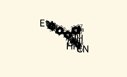 CCN1CCN(C2CCC(c3ccc(NC(=O)C4NC=C(C#N)N4)c(C4=CCC(C)(C)CC4)c3)CC2)CC1